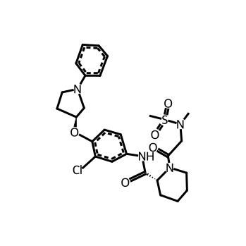 CN(CC(=O)N1CCCC[C@@H]1C(=O)Nc1ccc(O[C@H]2CCN(c3ccccc3)C2)c(Cl)c1)S(C)(=O)=O